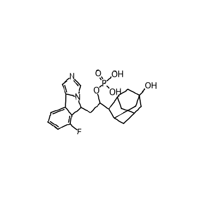 O=P(O)(O)OC(CC1c2c(F)cccc2-c2cncn21)C1C2CC3CC1CC(O)(C3)C2